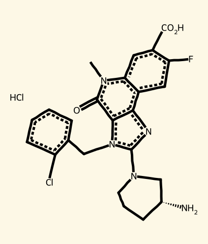 Cl.Cn1c(=O)c2c(nc(N3CCC[C@@H](N)C3)n2Cc2ccccc2Cl)c2cc(F)c(C(=O)O)cc21